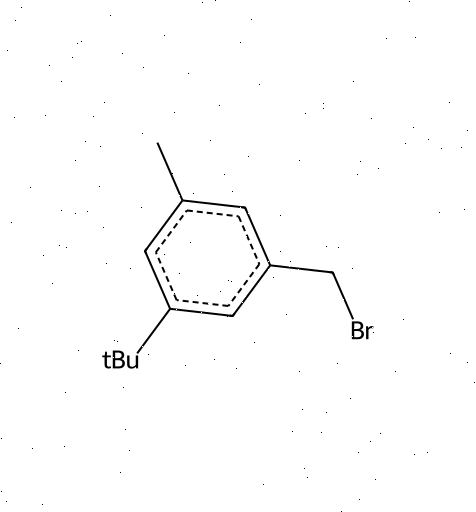 Cc1cc(CBr)cc(C(C)(C)C)c1